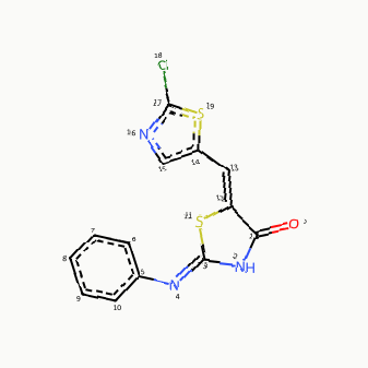 O=C1N/C(=N/c2ccccc2)S/C1=C\c1cnc(Cl)s1